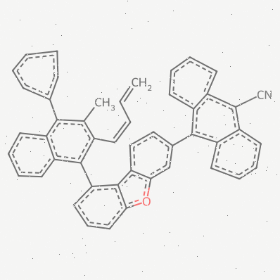 C=C/C=C\c1c(C)c(-c2ccccc2)c2ccccc2c1-c1cccc2oc3cc(-c4c5ccccc5c(C#N)c5ccccc45)ccc3c12